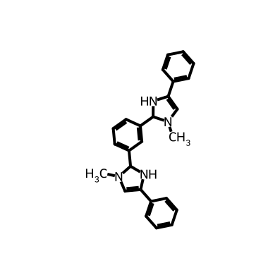 CN1C=C(c2ccccc2)NC1c1cccc(C2NC(c3ccccc3)=CN2C)c1